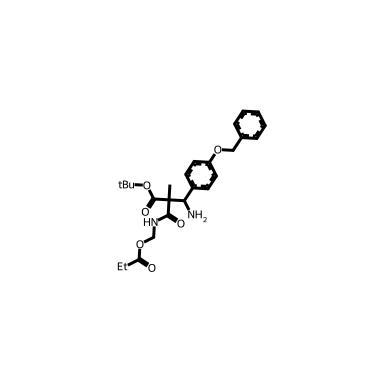 CCC(=O)OCNC(=O)C(C)(C(=O)OC(C)(C)C)C(N)c1ccc(OCc2ccccc2)cc1